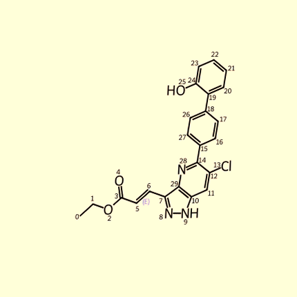 CCOC(=O)/C=C/c1n[nH]c2cc(Cl)c(-c3ccc(-c4ccccc4O)cc3)nc12